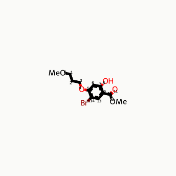 COCCCOc1cc(O)c(C(=O)OC)cc1Br